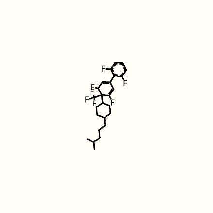 CC(C)CCCC1CCC(C2(C(F)(F)F)C(F)=CC(c3c(F)cccc3F)=CC2F)CC1